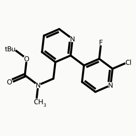 CN(Cc1cccnc1-c1ccnc(Cl)c1F)C(=O)OC(C)(C)C